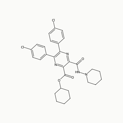 O=C(NN1CCCCC1)c1nc(-c2ccc(Cl)cc2)c(-c2ccc(Cl)cc2)nc1C(=O)OC1CCCCC1